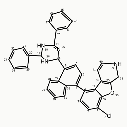 Clc1ccc(-c2ccc(C3N=C(c4ccccc4)NC(c4ccccc4)N3)c3ccccc23)c2c3c(oc12)CNC=C3